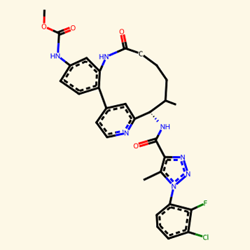 COC(=O)Nc1ccc2c(c1)NC(=O)CCCC(C)[C@H](NC(=O)c1nnn(-c3cccc(Cl)c3F)c1C)c1cc-2ccn1